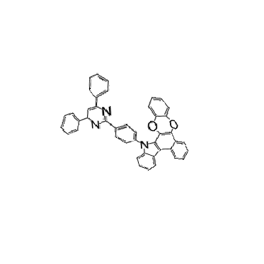 c1ccc(-c2cc(-c3ccccc3)nc(-c3ccc(-n4c5ccccc5c5c6ccccc6c6c(c54)Oc4ccccc4O6)cc3)n2)cc1